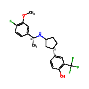 COc1cc([C@@H](C)NC2CC[C@H](c3ccc(O)c(C(F)(F)F)c3)C2)ccc1F